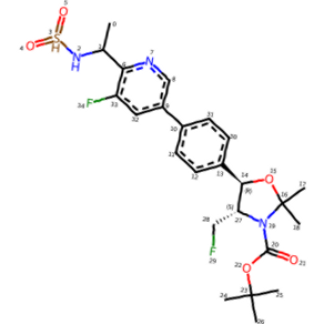 CC(N[SH](=O)=O)c1ncc(-c2ccc([C@H]3OC(C)(C)N(C(=O)OC(C)(C)C)[C@@H]3CF)cc2)cc1F